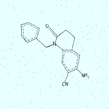 N#Cc1cc2c(cc1N)CCC(=O)N2Cc1ccccc1